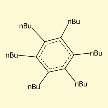 CCCCc1c(CCCC)c(CCCC)c(CCCC)c(CCCC)c1CCCC